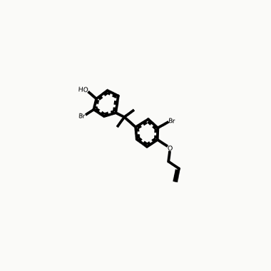 C=CCOc1ccc(C(C)(C)c2ccc(O)c(Br)c2)cc1Br